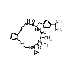 C[C@@H]1C(=O)N[C@H](Cc2ccc(C(=N)N)cc2)C(=O)NC/C=C/c2ccccc2OCCN[C@@H](C2CC2)C(=O)N1C